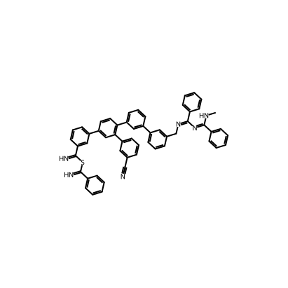 CN/C(=N\C(=N/Cc1cccc(-c2cccc(-c3ccc(-c4cccc(C(=N)SC(=N)c5ccccc5)c4)cc3-c3cccc(C#N)c3)c2)c1)c1ccccc1)c1ccccc1